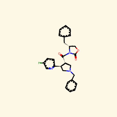 O=C1OC[C@@H](Cc2ccccc2)N1C(=O)[C@@H]1CN(Cc2ccccc2)C[C@H]1c1ccc(F)cn1